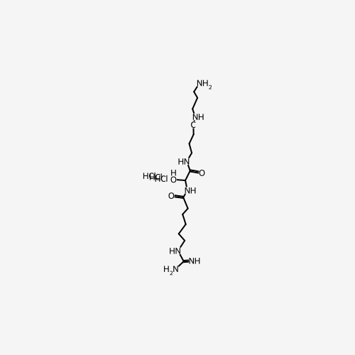 Cl.Cl.Cl.N=C(N)NCCCCCC(=O)NC(O)C(=O)NCCCCNCCCN